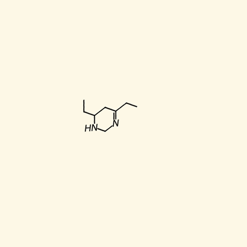 CCC1=NCNC(CC)C1